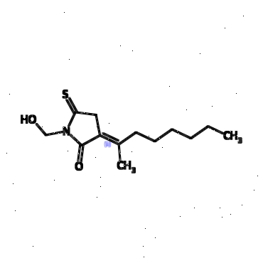 CCCCCC/C(C)=C1\CC(=S)N(CO)C1=O